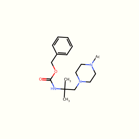 CC(=O)N1CCN(CC(C)(C)NC(=O)OCc2ccccc2)CC1